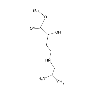 C[C@H](N)CNCCC(O)C(=O)OC(C)(C)C